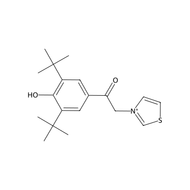 CC(C)(C)c1cc(C(=O)C[n+]2ccsc2)cc(C(C)(C)C)c1O